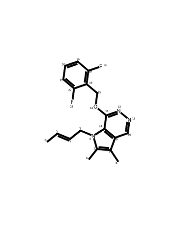 CC=CCn1c(C)c(C)c2cnnc(OCc3c(F)cccc3F)c21